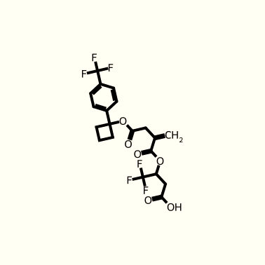 C=C(CC(=O)OC1(c2ccc(C(F)(F)F)cc2)CCC1)C(=O)OC(CC(=O)O)C(F)(F)F